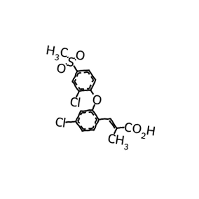 C/C(=C\c1ccc(Cl)cc1Oc1ccc(S(C)(=O)=O)cc1Cl)C(=O)O